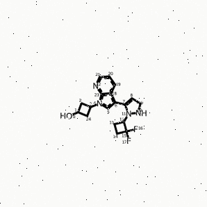 OC1CC(n2cc(C3=CCNN3C3CCC3(F)F)c3cccnc32)C1